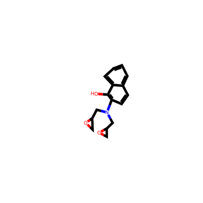 Oc1c(N(CC2CO2)CC2CO2)ccc2ccccc12